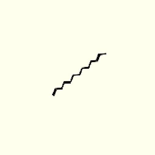 [CH]=CCC=CCCCCCC=CC